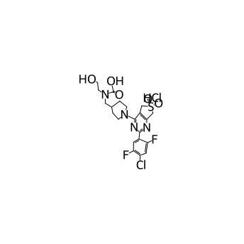 Cl.O=C(O)N(CCO)CC1CCN(c2nc(-c3cc(F)c(Cl)cc3F)nc3c2CS(=O)(=O)C3)CC1